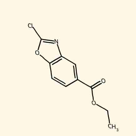 CCOC(=O)c1ccc2oc(Cl)nc2c1